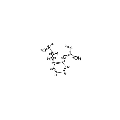 C=CC(=O)O.CC(=O)NNc1ccccc1